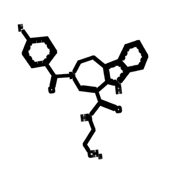 CCCNC(=O)C1=CN(C(=O)c2ccc(F)cc2)CCc2c1[nH]c1ccccc21